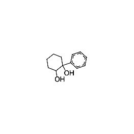 OC1CCCCC1(O)c1ccccc1